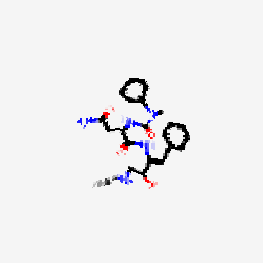 CCCCNCC(O)C(Cc1ccccc1)NC(=O)C(CC(N)=O)NC(=O)N(C)c1ccccc1